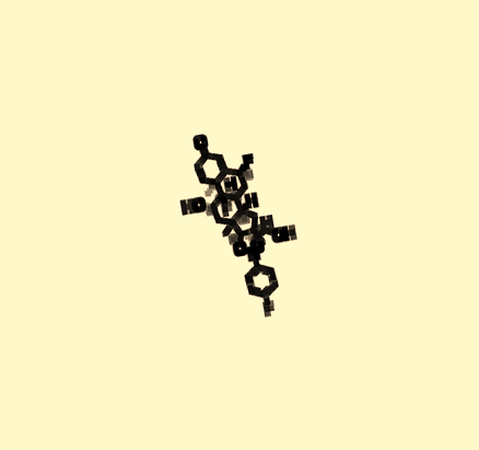 CC12C[C@H](O)[C@@]3(F)[C@@H](C[C@H](F)C4=CC(=O)C=C[C@@]43C)[C@@H]1C[C@H]1CN(c3ccc(F)cc3)O[C@]12C(=O)CO